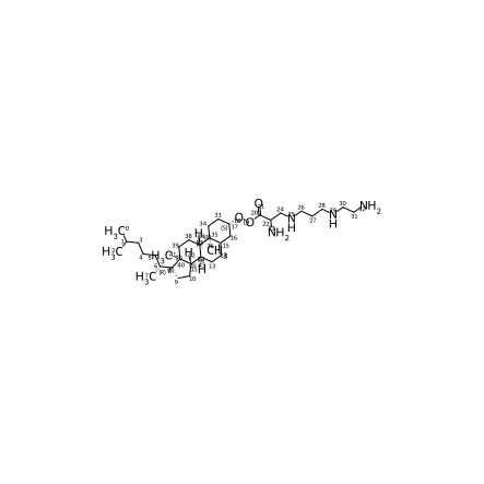 CC(C)CCC[C@@H](C)[C@H]1CC[C@H]2[C@@H]3CC=C4C[C@@H](OOC(=O)C(N)CNCCCNCCN)CC[C@]4(C)[C@H]3CC[C@]12C